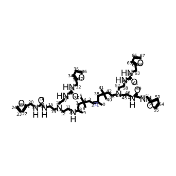 C/C(=C/CC(C)(C)CC(C)NCCN(CCNC(=O)NCc1ccco1)CCNC(=O)NCc1ccco1)CC(C)(C)CCN(CCNC(=O)NCc1ccco1)CCNC(=O)NCc1ccco1